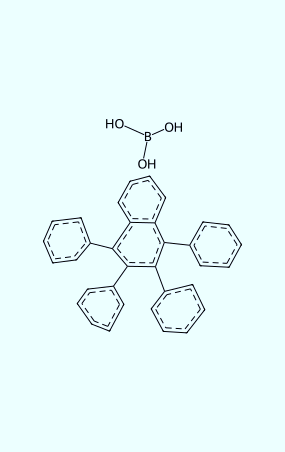 OB(O)O.c1ccc(-c2c(-c3ccccc3)c(-c3ccccc3)c3ccccc3c2-c2ccccc2)cc1